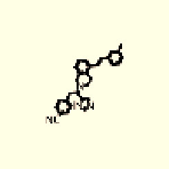 Cc1cccc(C=Cc2cccc3c2CCN(C(Cc2ccc(C#N)cc2)c2cnc[nH]2)C3)c1